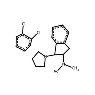 CC(=O)N(C)C1Cc2ccccc2C1N1CCCC1.Clc1ccccc1Cl